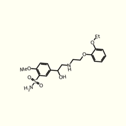 CCOc1ccccc1OCCNCC(O)c1ccc(OC)c(S(N)(=O)=O)c1